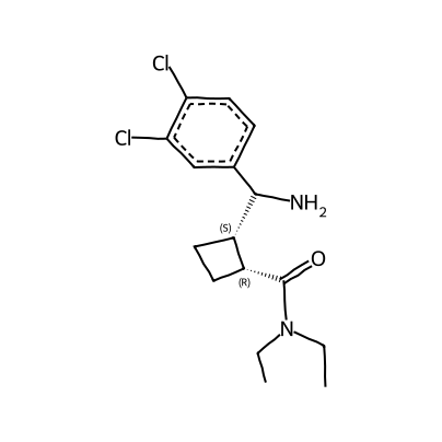 CCN(CC)C(=O)[C@@H]1CC[C@@H]1C(N)c1ccc(Cl)c(Cl)c1